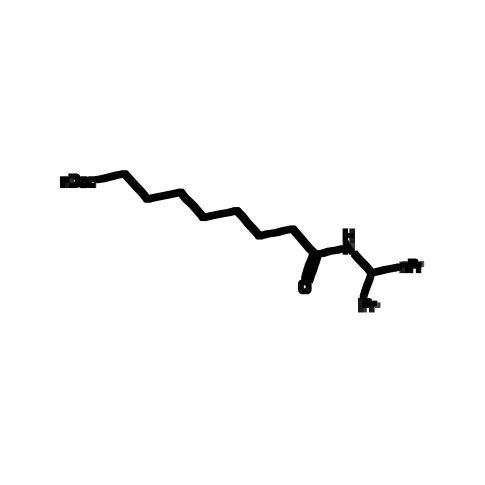 CCCCCCCCCCCCCCCCCC(=O)NC(CCC)[C](C)C